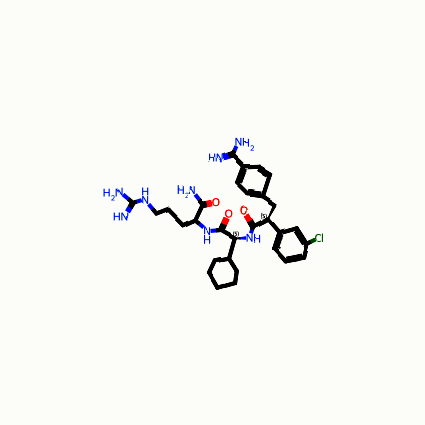 N=C(N)NCCCC(NC(=O)[C@@H](NC(=O)[C@@H](Cc1ccc(C(=N)N)cc1)c1cccc(Cl)c1)C1CCCCC1)C(N)=O